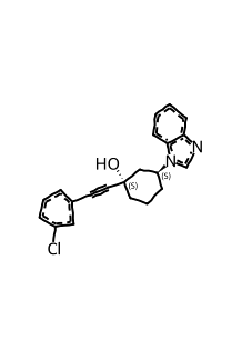 O[C@@]1(C#Cc2cccc(Cl)c2)CCC[C@H](n2cnc3ccccc32)C1